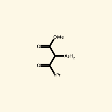 CCCC(=O)C([AsH2])C(=O)OC